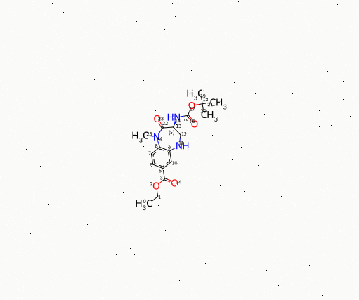 CCOC(=O)c1ccc2c(c1)NC[C@H](NC(=O)OC(C)(C)C)C(=O)N2C